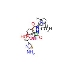 C=C(C(=O)N[C@@H]1C(=O)N2C(C(=O)O)=C(C[N+]3(C)[C@@H]4CC[C@H]3C[C@@H](NC(=O)c3ccc(O)c(O)c3Cl)C4)CS[C@H]12)c1csc(N)n1